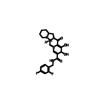 O=C(NCc1ccc(F)cc1F)C1=CN2C[C@H]3N(CC4CCCCN43)C(=O)C2=C(O)C1O